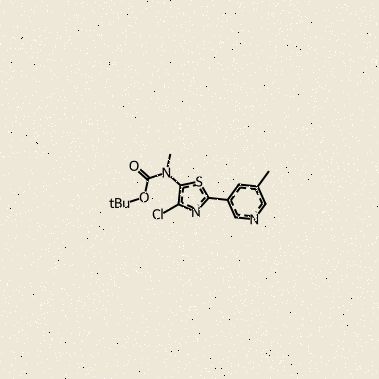 Cc1cncc(-c2nc(Cl)c(N(C)C(=O)OC(C)(C)C)s2)c1